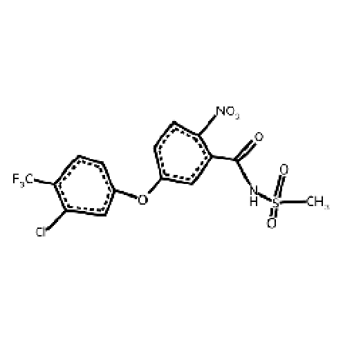 CS(=O)(=O)NC(=O)c1cc(Oc2ccc(C(F)(F)F)c(Cl)c2)ccc1[N+](=O)[O-]